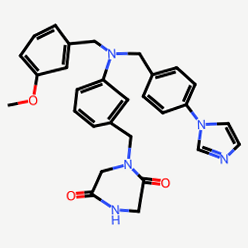 COc1cccc(CN(Cc2ccc(-n3ccnc3)cc2)c2cccc(CN3CC(=O)NCC3=O)c2)c1